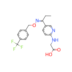 CCC(=NOCc1ccc(C(F)(F)F)cc1)c1ccc(NCC(=O)O)nc1